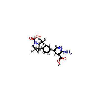 COC(=O)c1cc(-c2ccc([C@@]34C[C@@H]3CN(C(=O)O)C4C(C)(C)C)cc2)cnc1N